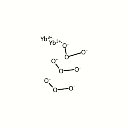 [O-]O[O-].[O-]O[O-].[O-]O[O-].[Yb+3].[Yb+3]